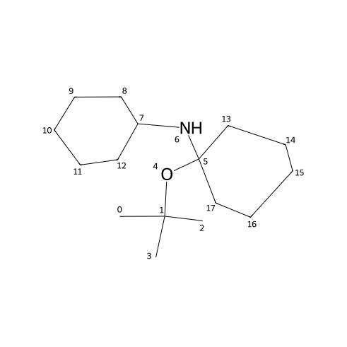 CC(C)(C)OC1(NC2CCCCC2)CCCCC1